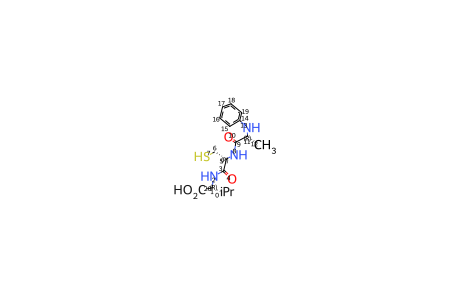 CC(C)[C@@H](NC(=O)[C@H](CS)NC(=O)[C@@H](C)Nc1ccccc1)C(=O)O